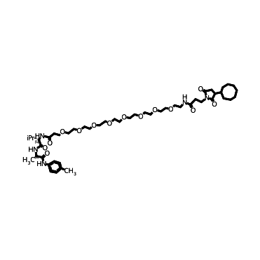 Cc1ccc(NC(=O)[C@H](C)NC(=O)[C@@H](NC(=O)CCOCCOCCOCCOCCOCCOCCOCCOCCNC(=O)CCN2C(=O)CC(C3CCCCCCC3)C2=O)C(C)C)cc1